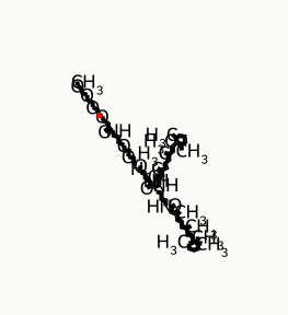 COCCOCCOCCOCCC(=O)NCCCOCCOCCOCCCNC(=O)[C@@H](CCCCNC(=O)/C=C(C)/C=C/C=C(C)/C=C/C1=C(C)CCCC1(C)C)NC(=O)/C=C(C)/C=C/C=C(C)/C=C/C1=C(C)CCCC1(C)C